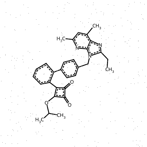 CCc1nc2c(C)cc(C)nc2n1Cc1ccc(-c2ccccc2-c2c(OC(C)C)c(=O)c2=O)cc1